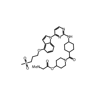 CNCC(=O)OC1CCN(C(=O)C2CCC(Nc3nccc(-n4ccc5c(OCCCS(C)(=O)=O)cccc54)n3)CC2)CC1